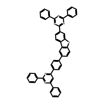 c1ccc(-c2cc(-c3ccc(-c4ccc5sc6cc(-c7nc(-c8ccccc8)nc(-c8ccccc8)n7)ccc6c5c4)cc3)nc(-c3ccccc3)n2)cc1